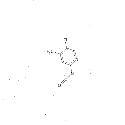 O=C=Nc1cc(C(F)(F)F)c(Cl)cn1